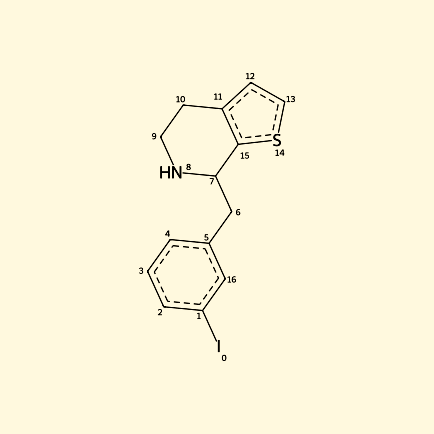 Ic1cccc(CC2NCCc3ccsc32)c1